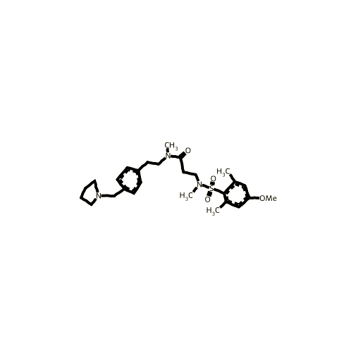 COc1cc(C)c(S(=O)(=O)N(C)CCC(=O)N(C)CCc2ccc(CN3CCCC3)cc2)c(C)c1